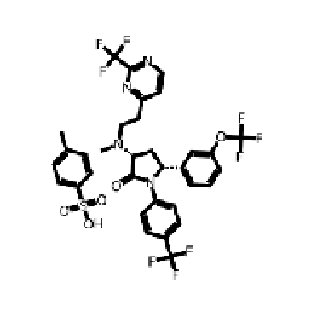 CN(CCc1ccnc(C(F)(F)F)n1)[C@@H]1C[C@H](c2cccc(OC(F)(F)F)c2)N(c2ccc(C(F)(F)F)cc2)C1=O.Cc1ccc(S(=O)(=O)O)cc1